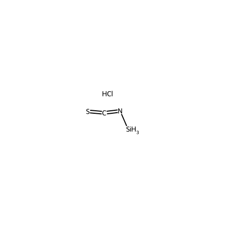 Cl.[SiH3]N=C=S